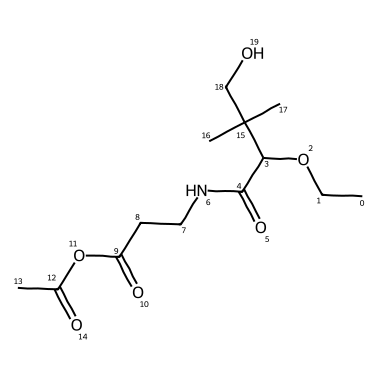 CCOC(C(=O)NCCC(=O)OC(C)=O)C(C)(C)CO